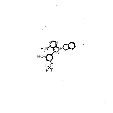 Nc1ncnc2c1c(-c1cc(O)cc(OC(F)(F)F)c1)nn2C1Cc2ccccc2C1